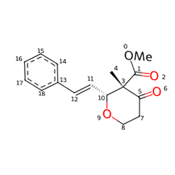 COC(=O)[C@]1(C)C(=O)CCO[C@@H]1/C=C/c1ccccc1